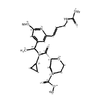 COC(=O)NC/C=C/c1cc(C(C)N(C(=O)[C@H]2CN(C(=O)OC(C)(C)C)CCO2)C2CC2)cc(OC)n1